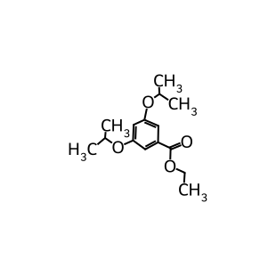 CCOC(=O)c1cc(OC(C)C)cc(OC(C)C)c1